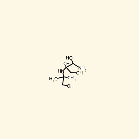 CC(C)(CO)NC(C)(CO)C(N)O